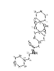 O=C(CC1CCC2(CC1)OOC1(CCCCC1)OO2)NCCN1CCOCC1